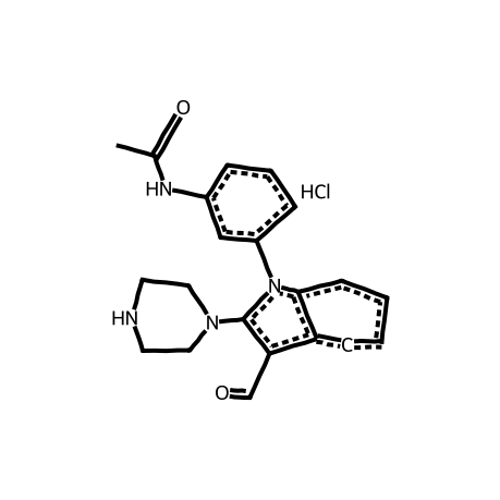 CC(=O)Nc1cccc(-n2c(N3CCNCC3)c(C=O)c3ccccc32)c1.Cl